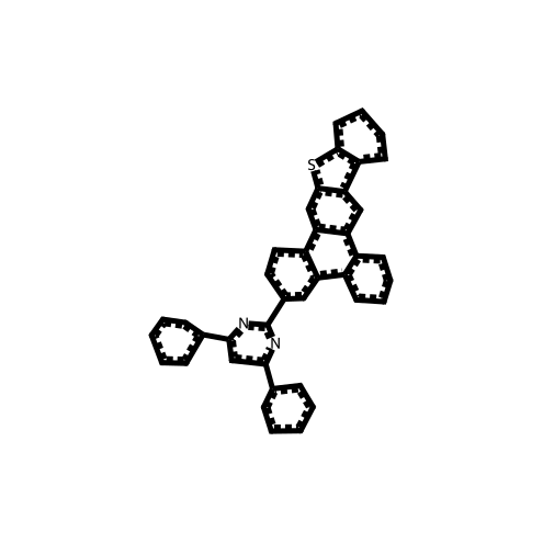 c1ccc(-c2cc(-c3ccccc3)nc(-c3ccc4c(c3)c3ccccc3c3cc5c(cc43)sc3ccccc35)n2)cc1